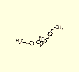 C=CCCc1ccc(CCOC(F)(F)c2c(F)cc([C@H]3CC[C@H](CCC=C)CC3)cc2F)cc1